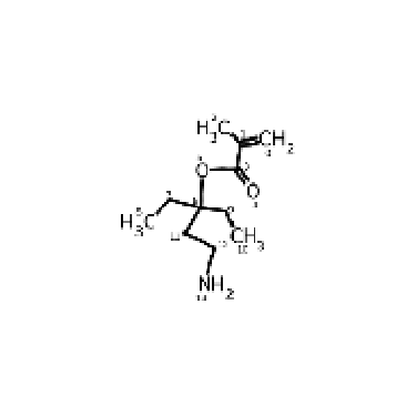 C=C(C)C(=O)OC(CC)(CC)CCN